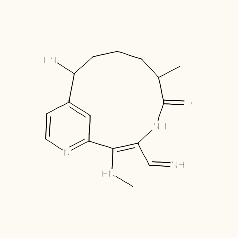 CN/C1=C(\C=N)NC(=O)C(C)CCCC(N)c2ccnc1c2